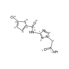 CCCC(=O)Cn1cnc(NC(=O)c2ccc(Cl)s2)n1